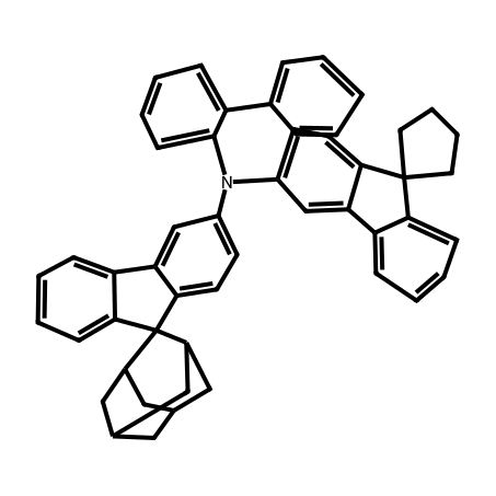 c1ccc(-c2ccccc2N(c2ccc3c(c2)-c2ccccc2C32CCCC2)c2ccc3c(c2)-c2ccccc2C32C3CC4CC(C3)CC2C4)cc1